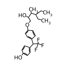 CCC(CC)C(C)C(O)COc1ccc(C(c2ccc(O)cc2)C(F)(F)F)cc1